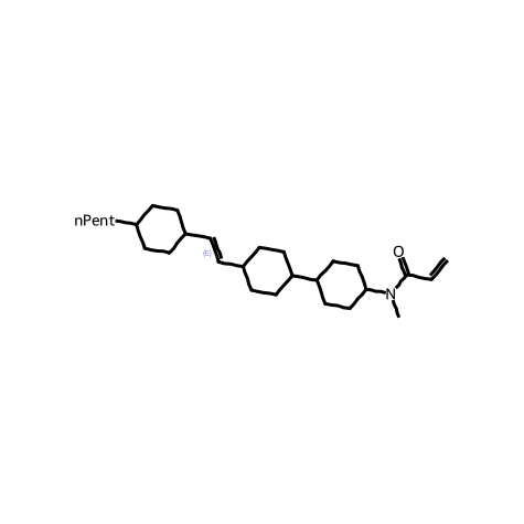 C=CC(=O)N(C)C1CCC(C2CCC(/C=C/C3CCC(CCCCC)CC3)CC2)CC1